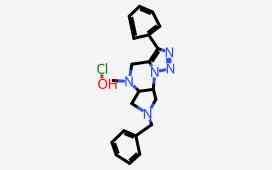 CN1Cc2c(-c3ccccc3)nnn2C2CN(Cc3ccccc3)CC21.OCl